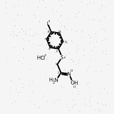 Cl.NC(CSc1ccc(I)cc1)=NO